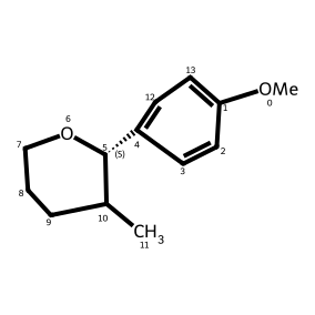 COc1ccc([C@H]2OCCCC2C)cc1